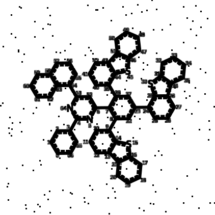 c1ccc(-c2nc(-c3c(-c4cccc5c4sc4ccccc45)cc(-c4cccc5c4sc4ccccc45)cc3-c3cccc4c3sc3ccccc34)cc(-c3cccc4ccccc34)n2)cc1